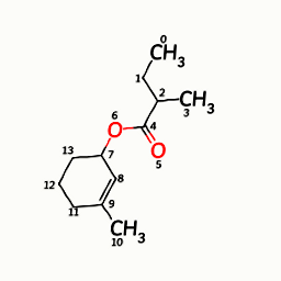 CCC(C)C(=O)OC1C=C(C)CCC1